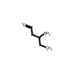 CCC(N)CC=O